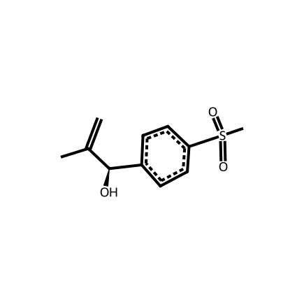 C=C(C)[C@H](O)c1ccc(S(C)(=O)=O)cc1